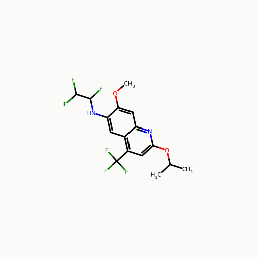 COc1cc2nc(OC(C)C)cc(C(F)(F)F)c2cc1NC(F)C(F)F